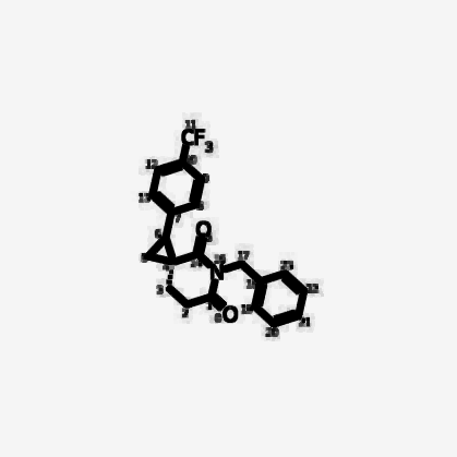 O=C1CC[C@@]2(CC2c2ccc(C(F)(F)F)cc2)C(=O)N1Cc1ccccc1